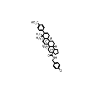 CC1(C)C(c2ccc(C(=O)O)cc2)=CC[C@]2(C)[C@H]3CC[C@@H]4[C@H]5CCC[C@]5(C(=O)NCc5ccc(Cl)cc5)CC[C@@]4(C)[C@]3(C)CC[C@@H]12